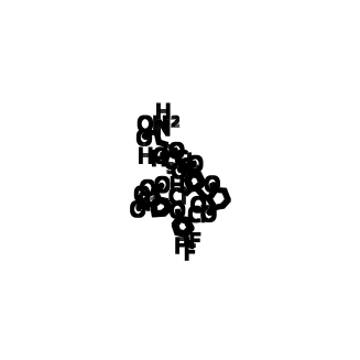 CP(=O)(O)CCC(N)C(=O)O.CS(=O)(=O)c1ccc(C(=O)C2C(=O)CCCC2=O)c(Cl)c1.O=C(O)c1cc(Oc2ccc(C(F)(F)F)cc2Cl)ccc1[N+](=O)[O-]